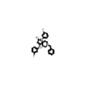 O=C1C=C(Nc2cccc(F)c2)C2(CCN(Cc3ccccc3)CC2)N1c1cccc(F)c1